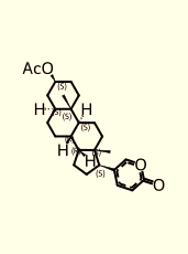 CC(=O)O[C@H]1CC[C@@]2(C)[C@@H](CC[C@H]3[C@H]4CC[C@H](c5ccc(=O)oc5)[C@@]4(C)CC[C@@H]32)C1